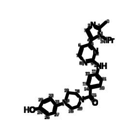 Cc1ncc(-c2ccnc(Nc3ccc(C(=O)N4CCN(c5ccc(O)cc5)CC4)cc3)n2)n1C(C)C